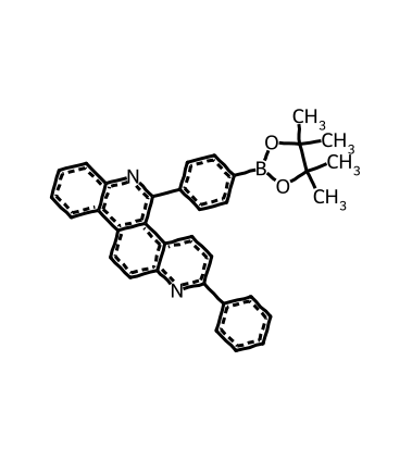 CC1(C)OB(c2ccc(-c3nc4ccccc4c4ccc5nc(-c6ccccc6)ccc5c34)cc2)OC1(C)C